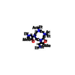 CCC(C(C)=O)N1CCN(C(CC)C(C)=O)CCN(C(CN(CC)CC)C(=O)OC)CCN(C(CN(CC)CC)C(=O)OC)CC1